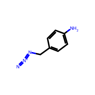 [N-]=[N+]=NCc1ccc(N)cc1